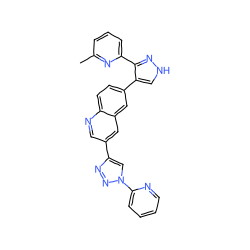 Cc1cccc(-c2n[nH]cc2-c2ccc3ncc(-c4cn(-c5ccccn5)nn4)cc3c2)n1